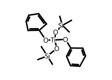 C[Si](C)(C)[O][Ti]([O]c1ccccc1)([O]c1ccccc1)[O][Si](C)(C)C